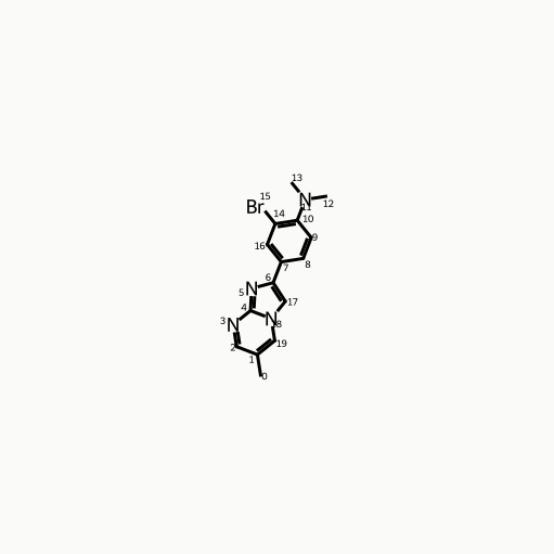 Cc1cnc2nc(-c3ccc(N(C)C)c(Br)c3)cn2c1